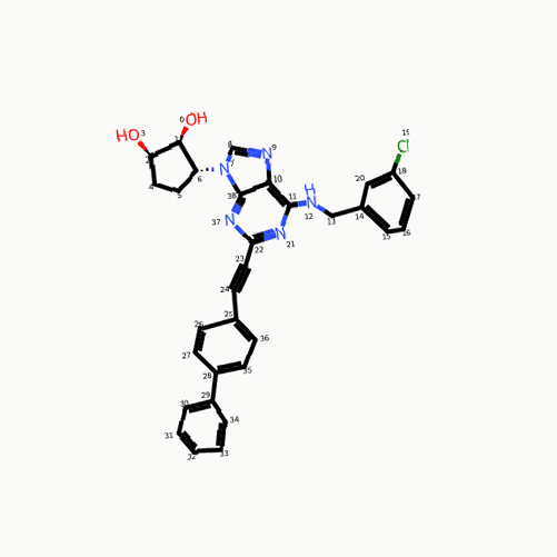 O[C@@H]1[C@H](O)CC[C@H]1n1cnc2c(NCc3cccc(Cl)c3)nc(C#Cc3ccc(-c4ccccc4)cc3)nc21